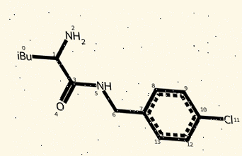 CCC(C)C(N)C(=O)NCc1ccc(Cl)cc1